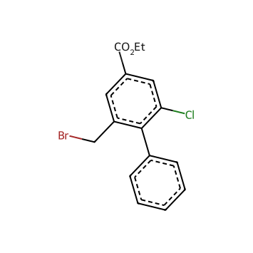 CCOC(=O)c1cc(Cl)c(-c2ccccc2)c(CBr)c1